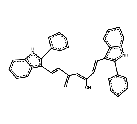 O=C(/C=C(O)/C=C/c1c(-c2ccccc2)[nH]c2ccccc12)/C=C/c1c(-c2ccccc2)[nH]c2ccccc12